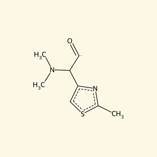 Cc1nc(C([C]=O)N(C)C)cs1